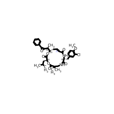 COc1ccc(C[C@H]2NC(=O)/C=C/C[C@@H]([C@H](C)C3OC3c3ccccc3)OC(=O)[C@H](CC(C)C)OC(=O)C(C)(C)CNC2=O)cc1Cl